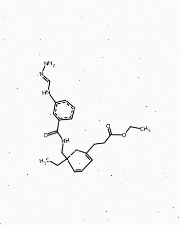 CCOC(=O)CCC1=CC=CC(CC)(CNC(=O)c2cccc(NC=NN)c2)C1